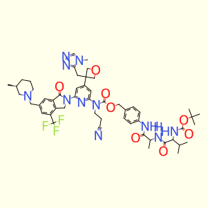 CC(NC(=O)C(NC(=O)OC(C)(C)C)C(C)C)C(=O)Nc1ccc(COC(=O)N(CCC#N)c2cc(C3(Cc4nncn4C)COC3)cc(N3Cc4c(cc(CN5CCC[C@H](C)C5)cc4C(F)(F)F)C3=O)n2)cc1